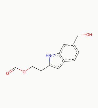 O=COCCc1cc2ccc(CO)cc2[nH]1